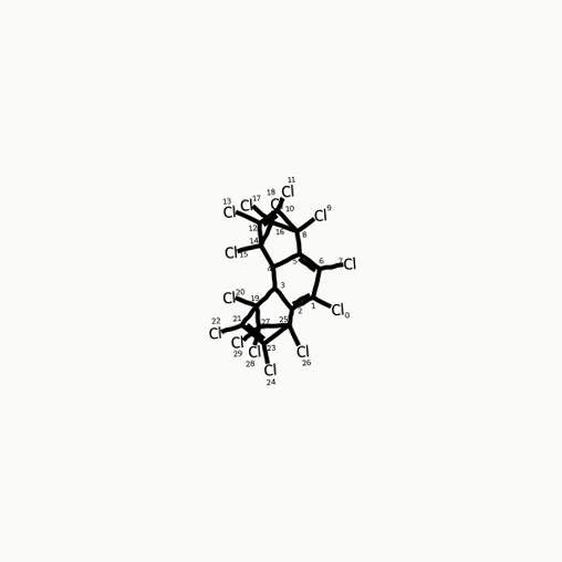 ClC1=C2C(C3C(=C1Cl)C1(Cl)C(Cl)=C(Cl)C3(Cl)C1(Cl)Cl)C1(Cl)C(Cl)=C(Cl)C2(Cl)C1(Cl)Cl